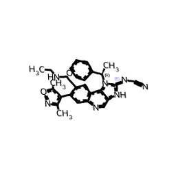 CCNC(=O)c1cc2c(cc1-c1c(C)noc1C)ncc1[nH]/c(=N\C#N)n([C@H](C)c3ccccc3)c12